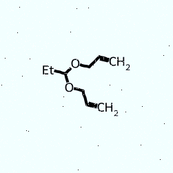 [CH2]CC(OCC=C)OCC=C